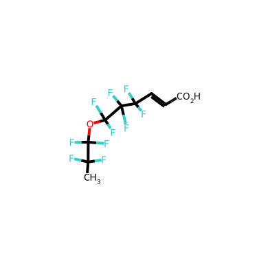 CC(F)(F)C(F)(F)OC(F)(F)C(F)(F)C(F)(F)C=CC(=O)O